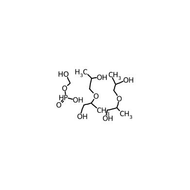 CC(O)COC(C)CO.CC(O)COC(C)CO.O=[PH](O)OCO